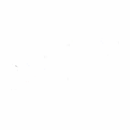 COC(=O)[C@@H](C)NC(=O)/C(C)=C/c1cc(C)c(-c2ccc(NC(C)C)cc2F)cc1C